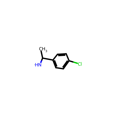 CC([NH])c1ccc(Cl)cc1